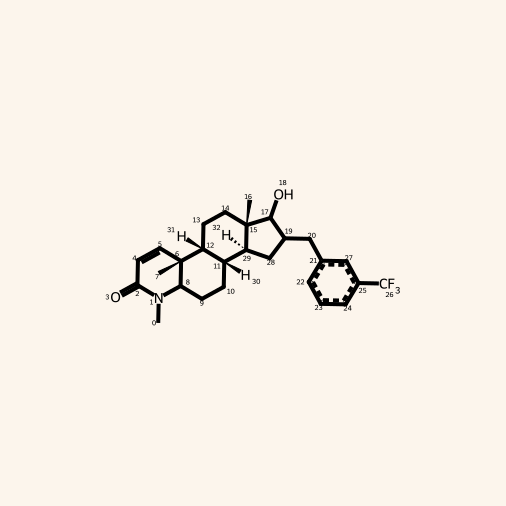 CN1C(=O)C=C[C@@]2(C)C1CC[C@@H]1[C@H]2CC[C@]2(C)C(O)C(Cc3cccc(C(F)(F)F)c3)C[C@@H]12